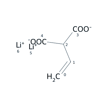 C=CC(C(=O)[O-])C(=O)[O-].[Li+].[Li+]